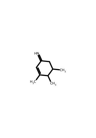 CC1=CC(=N)CC(C)C1C